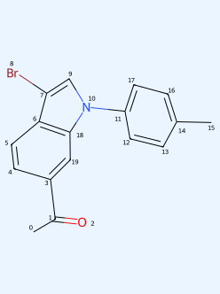 CC(=O)c1ccc2c(Br)cn(-c3ccc(C)cc3)c2c1